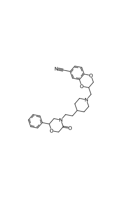 N#Cc1ccc2c(c1)OC(CN1CCC(CCN3CC(c4ccccc4)OCC3=O)CC1)CO2